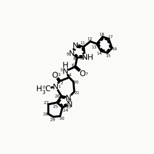 CN1C(=O)C(NC(=O)c2nnc(Cc3ccccc3)[nH]2)CCn2nc3c(c21)CCCC3